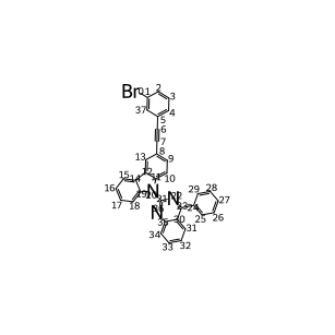 Brc1cccc(C#Cc2ccc3c(c2)c2ccccc2n3-c2nc(-c3ccccc3)c3ccccc3n2)c1